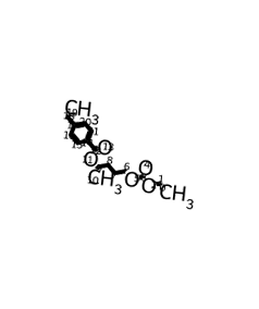 CCOC(=O)OCCCC(C)OC(=O)c1ccc(CC)cc1